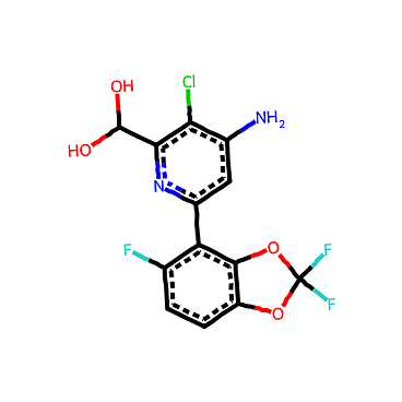 Nc1cc(-c2c(F)ccc3c2OC(F)(F)O3)nc(C(O)O)c1Cl